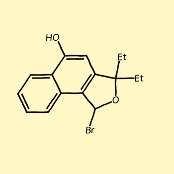 CCC1(CC)OC(Br)c2c1cc(O)c1ccccc21